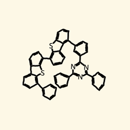 c1ccc(-c2nc(-c3ccccc3)nc(-c3cccc(-c4cccc5sc6c(-c7cccc8c7sc7c(-c9ccccc9)cccc78)cccc6c45)c3)n2)cc1